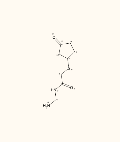 NCNC(=O)CSC1CCC(=O)C1